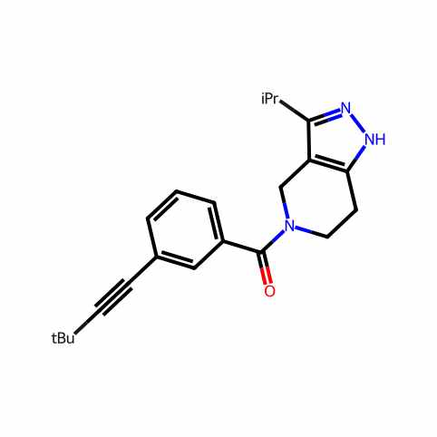 CC(C)c1n[nH]c2c1CN(C(=O)c1cccc(C#CC(C)(C)C)c1)CC2